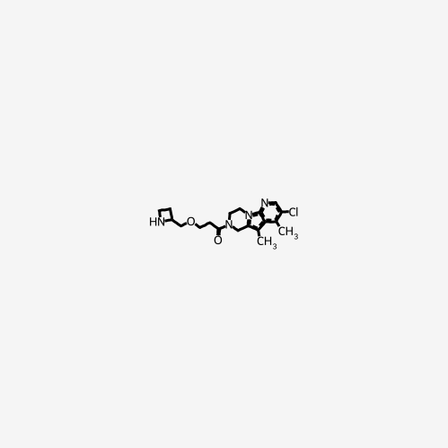 Cc1c(Cl)cnc2c1c(C)c1n2CCN(C(=O)CCOCC2CCN2)C1